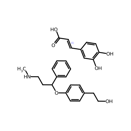 CNCCC(Oc1ccc(CCO)cc1)c1ccccc1.O=C(O)/C=C/c1ccc(O)c(O)c1